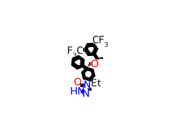 CC[C@]1(n2cn[nH]c2=O)CC[C@](CO[C@H](C)c2cc(C(F)(F)F)cc(C(F)(F)F)c2)(c2ccccc2)CC1